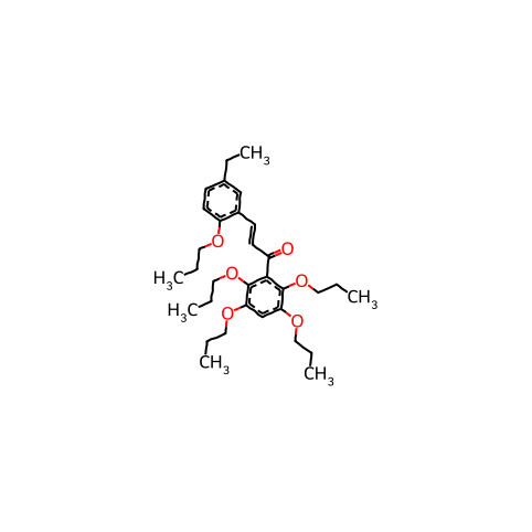 CCCOc1ccc(CC)cc1C=CC(=O)c1c(OCCC)c(OCCC)cc(OCCC)c1OCCC